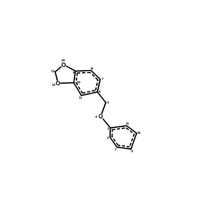 c1ccc(OCc2ccc3c(c2)OCO3)cc1